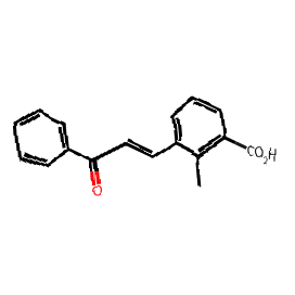 Cc1c(C=CC(=O)c2ccccc2)cccc1C(=O)O